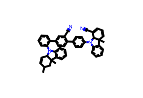 CC1C=CC2N(c3ccccc3-c3ccc(-c4ccc(N5c6ccccc6C6(C)C=CC=C(C#N)C56)cc4)c(C#N)c3)c3ccccc3C2(C)C1